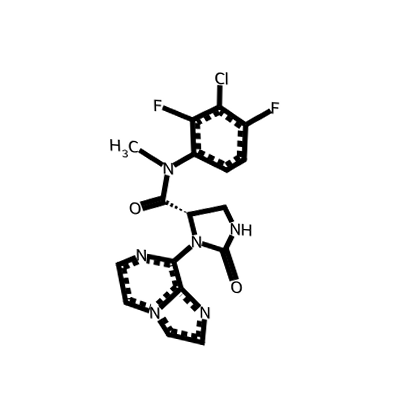 CN(C(=O)[C@@H]1CNC(=O)N1c1nccn2ccnc12)c1ccc(F)c(Cl)c1F